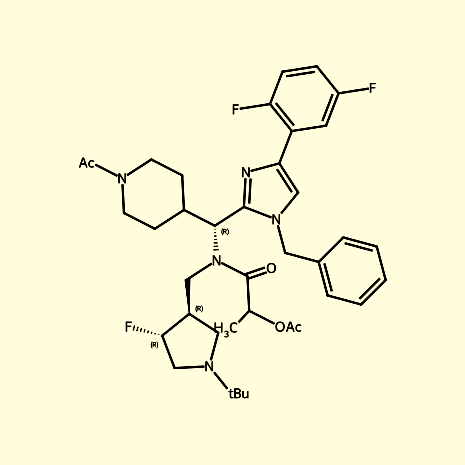 CC(=O)OC(C)C(=O)N(C[C@H]1CN(C(C)(C)C)C[C@@H]1F)[C@@H](c1nc(-c2cc(F)ccc2F)cn1Cc1ccccc1)C1CCN(C(C)=O)CC1